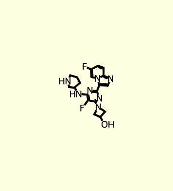 OC1CN(c2nc(-c3cnc4ccc(F)cn34)nc(NC3CCCNC3)c2F)C1